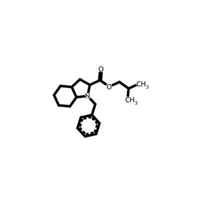 CC(C)COC(=O)C1CC2CCCCC2N1Cc1ccccc1